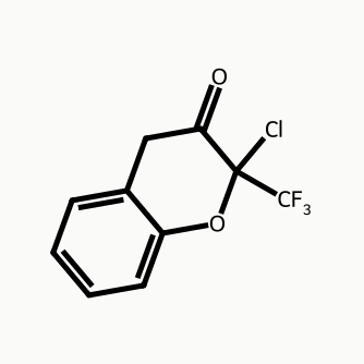 O=C1Cc2ccccc2OC1(Cl)C(F)(F)F